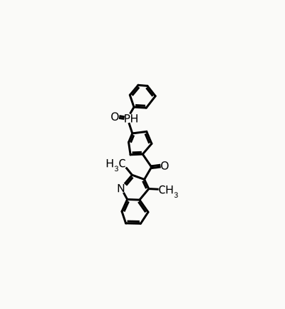 Cc1nc2ccccc2c(C)c1C(=O)c1ccc([PH](=O)c2ccccc2)cc1